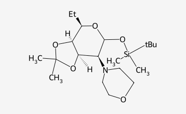 CC[C@H]1OC(O[Si](C)(C)C(C)(C)C)[C@@H](N2CCOCC2)[C@H]2OC(C)(C)O[C@H]21